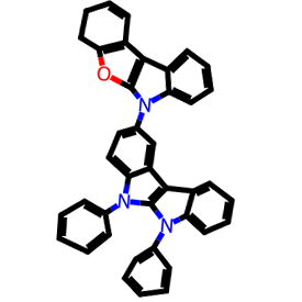 C1=Cc2c(oc3c2c2ccccc2n3-c2ccc3c(c2)c2c4ccccc4n(-c4ccccc4)c2n3-c2ccccc2)CC1